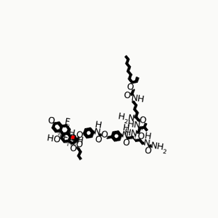 C=CC(CCCCCCC)OCC(=O)NCCCC[C@H](N)C(=O)N[C@H](C(=O)N[C@@H](CCCNC(N)=O)C(=O)Nc1ccc(COC(=O)Nc2ccc(OCC(=O)[C@@]34OC(CCC)O[C@@H]3CC3[C@@H]5C[C@H](F)C6=CC(=O)C=C[C@]6(C)[C@@]5(F)[C@@H](O)C[C@@]34C)cc2)cc1)C(C)C